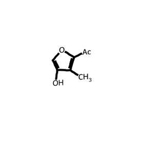 CC(=O)c1occ(O)c1C